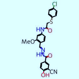 COc1cc(NC(=O)CSc2ccc(Cl)cc2)ccc1/C=N/NC(=O)c1ccc(O)c(C#N)c1